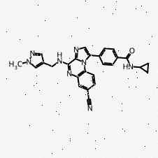 Cn1cc(CNc2nc3cc(C#N)ccc3n3c(-c4ccc(C(=O)NC5CC5)cc4)cnc23)cn1